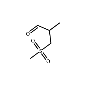 CC(C=O)CS(C)(=O)=O